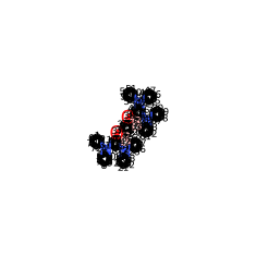 c1ccc(N(c2ccccc2)c2cc3c4c(c2)N(c2ccccc2)c2ccccc2B4c2cc4c(cc2O3)Oc2cc(N(c3ccccc3)c3ccccc3)cc3c2B4c2ccccc2N3c2ccccc2)cc1